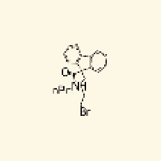 CCCNC(=O)C1(CCCCBr)c2ccccc2-c2ccccc21